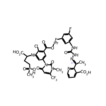 C/C(=N\NC(=O)Nc1cc(F)cc(F)c1)c1ncccc1C(=O)O.CC(C)OC(=O)c1cc(-n2c(=O)cc(C(F)(F)F)n(C)c2=O)ccc1Cl.CP(=O)(O)CCC(N)C(=O)O